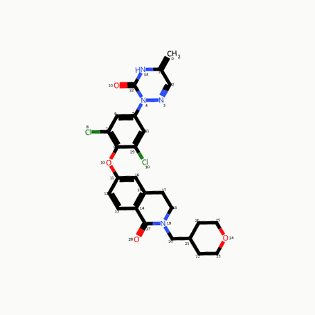 C=C1C=NN(c2cc(Cl)c(Oc3ccc4c(c3)CCN(CC3CCOCC3)C4=O)c(Cl)c2)C(=O)N1